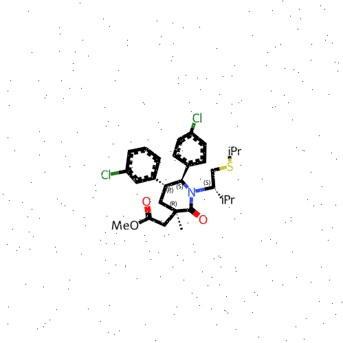 COC(=O)C[C@@]1(C)C[C@H](c2cccc(Cl)c2)[C@@H](c2ccc(Cl)cc2)N([C@H](CSC(C)C)C(C)C)C1=O